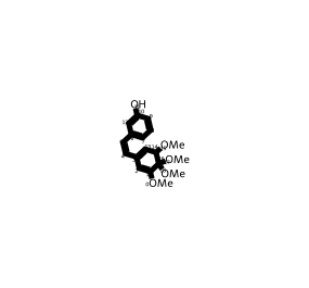 COC1=CC(/C=C\c2cccc(O)c2)=CC(OC)C1(OC)OC